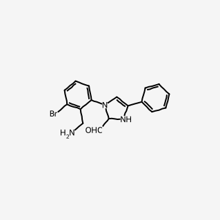 NCc1c(Br)cccc1N1C=C(c2ccccc2)NC1C=O